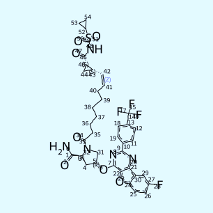 NC(=O)[C@@H]1C[C@@H](Oc2nc(-c3ccc(C(F)(F)F)cc3)nc3c2oc2ccc(F)cc23)CN1C(=O)CCCCCC/C=C\[C@@H]1C[C@@H]1C(=O)NS(=O)(=O)C1CC1